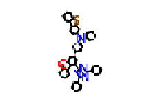 c1ccc(-c2nc(-c3ccccc3)nc(-c3cc(-c4ccc(N(c5ccccc5)c5ccc6c(c5)sc5ccccc56)cc4)cc4oc5ccccc5c34)n2)cc1